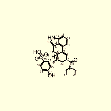 CCN(CC)C(=O)[C@@H]1C=C2c3cccc4[nH]cc(c34)C[C@H]2N(C)C1.O=S(=O)(O)c1ccc(O)cc1